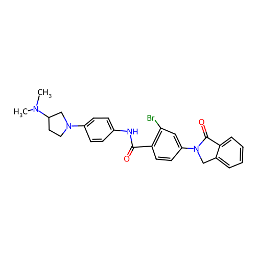 CN(C)C1CCN(c2ccc(NC(=O)c3ccc(N4Cc5ccccc5C4=O)cc3Br)cc2)C1